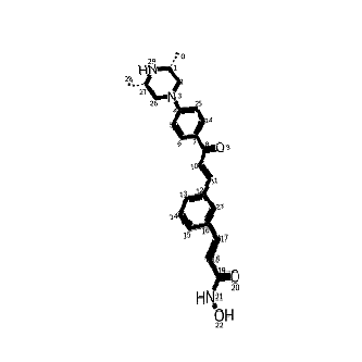 C[C@@H]1CN(c2ccc(C(=O)C=Cc3cccc(C=CC(=O)NO)c3)cc2)C[C@H](C)N1